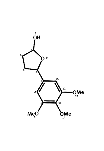 COc1cc(C2CCC(O)O2)cc(OC)c1OC